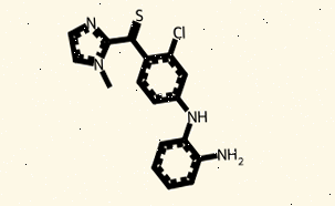 Cn1ccnc1C(=S)c1ccc(Nc2ccccc2N)cc1Cl